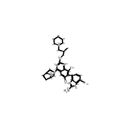 CC(COc1nc(N2CC3CCC(C2)N3)c2cc(Cl)c(-c3ccc(F)c4sc(N)nc34)c(F)c2n1)CN1CCCCC1